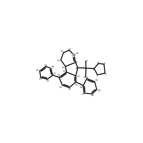 CC(C)(C1CCCC1)C1C2=NCCCC2c2c(-c3ccccc3)ccc(-c3ccccc3)c21